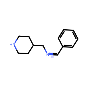 C(=N/CC1CCNCC1)/c1ccccc1